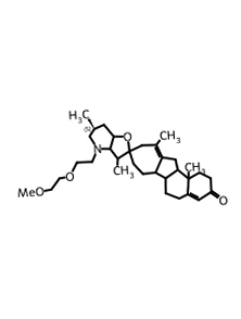 COCCOCCN1C[C@@H](C)CC2OC3(CCC4C(=C(C)C3)CC3C4CCC4=CC(=O)CCC43C)C(C)C21